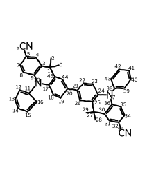 CC1(C)c2cc(C#N)ccc2N(c2ccccc2)c2ccc(-c3ccc4c(c3)C(C)(C)c3cc(C#N)ccc3N4c3ccccc3)cc21